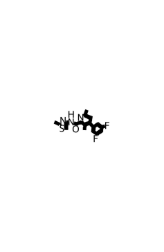 Cc1cc(-c2cc(F)cc(F)c2)c(C)c(C(=O)Nc2csc(C)n2)n1